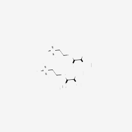 C=C(C)C(=O)OCCS(=O)(=O)[O-].C=C(C)C(=O)OCCS(=O)(=O)[O-].[Ca+2]